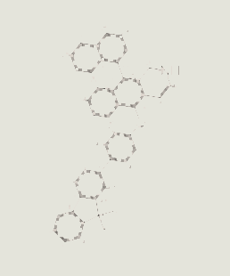 CC1(C)c2ccccc2-c2ccc(-c3ccc(Oc4c5c(c(-c6cccc7ccccc67)c6ccccc46)CNC=C5)cc3)cc21